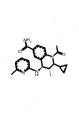 CC(=O)N1c2ccc(C(N)=O)cc2[C@H](Nc2cccc(C)n2)[C@@H](C)C1C1CC1